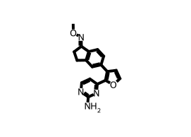 CON=C1CCc2cc(-c3ccoc3-c3ccnc(N)n3)ccc21